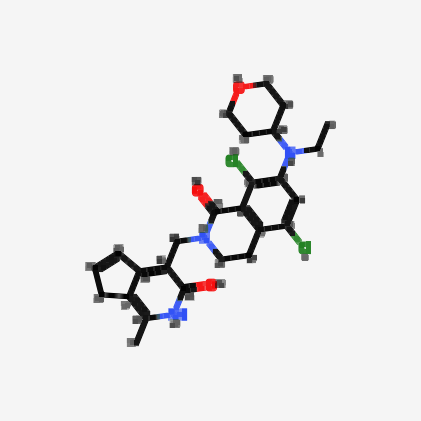 CCN(c1cc(Cl)c2c(c1Cl)C(=O)N(Cc1c3c(c(C)[nH]c1=O)CC=C3)CC2)C1CCOCC1